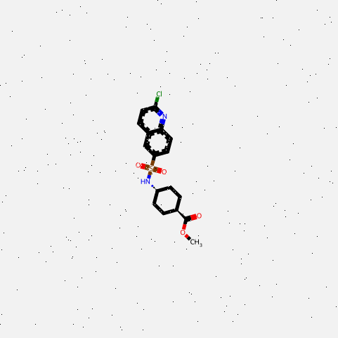 COC(=O)[C@H]1CC[C@H](NS(=O)(=O)c2ccc3nc(Cl)ccc3c2)CC1